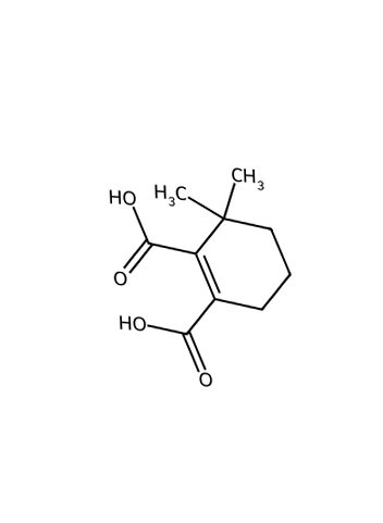 CC1(C)CCCC(C(=O)O)=C1C(=O)O